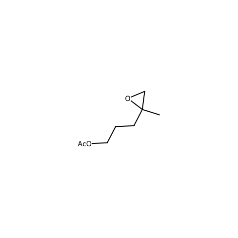 CC(=O)OCCCC1(C)CO1